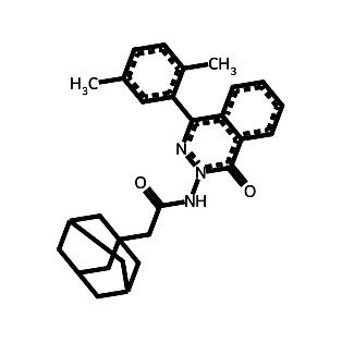 Cc1ccc(C)c(-c2nn(NC(=O)CC34CC5CC(CC(C5)C3)C4)c(=O)c3ccccc23)c1